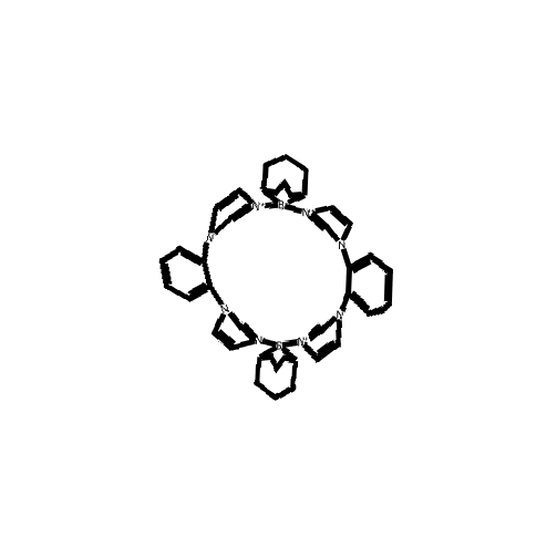 c1ccc2c(c1)-n1cc[n+](c1)[B-]1(C3CCCC1CCC3)[n+]1ccn(c1)-c1ccccc1-n1cc[n+](c1)[B-]1(C3CCCC1CCC3)[n+]1ccn-2c1